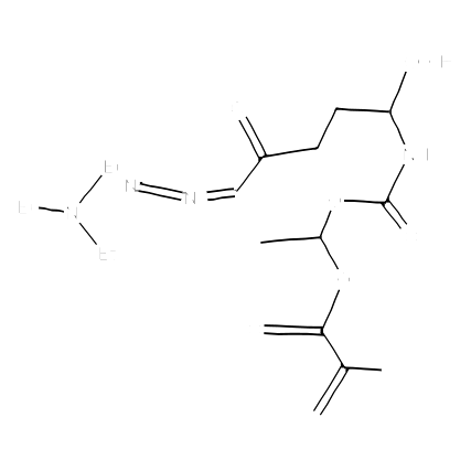 C=C(C)C(=O)OC(C)OC(=O)NC(CCC(=O)C=[N+]=[N-])C(=O)O.CCN(CC)CC